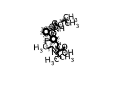 CCCn1nc(C(C)C)c(C(=O)O)c1Cc1ccc(-c2ccccc2S(=O)(=O)NC(=O)OCC(C)C)c(F)c1